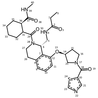 CCC(=O)NC[C@@H]1c2c(cccc2O[C@H]2CCN(C(=O)c3cncs3)C2)CCN1C(=O)C1CCCC[C@H]1C(=O)NC